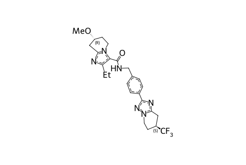 CCc1nc2n(c1C(=O)NCc1ccc(-c3nc4n(n3)CC[C@H](C(F)(F)F)C4)cc1)CC[C@@H](OC)C2